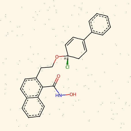 O=C(NO)c1c(CCO[C@]2(Cl)C=CC(c3ccccc3)=CC2)ccc2ccccc12